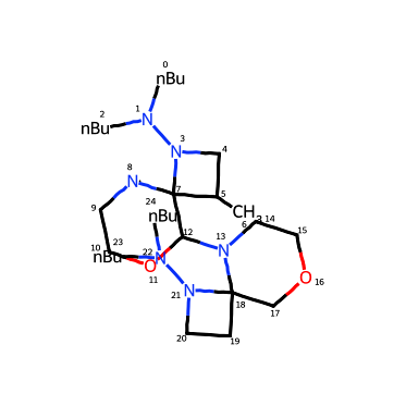 CCCCN(CCCC)N1CC(C)C12[N]CCOC2N1CCOCC12CCN2N(CCCC)CCCC